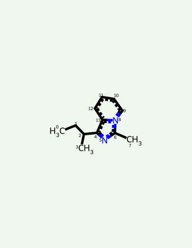 CCC(C)c1nc(C)n2ccccc12